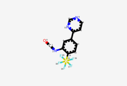 O=C=Nc1cc(-c2ccncn2)ccc1S(F)(F)(F)(F)F